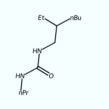 CCCCC(CC)CNC(=O)NCCC